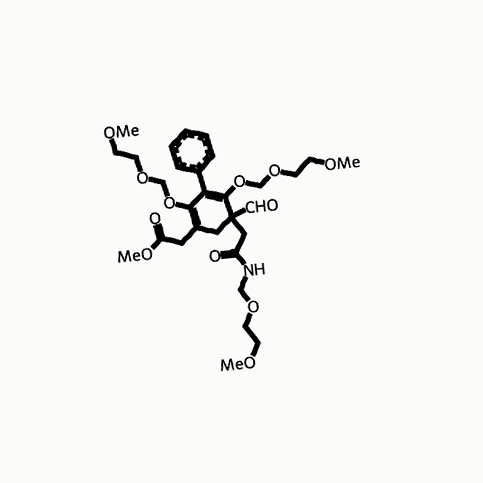 COCCOCNC(=O)CC1(C=O)CC(CC(=O)OC)=C(OCOCCOC)C(c2ccccc2)=C1OCOCCOC